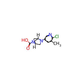 Cc1cc(N2C[C@H]3C[C@@H]2CN3C(=O)O)cnc1Cl